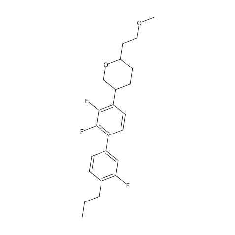 CCCc1ccc(-c2ccc(C3CCC(CCOC)OC3)c(F)c2F)cc1F